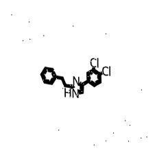 Clc1ccc(-c2c[nH]c(CCc3ccccc3)n2)cc1Cl